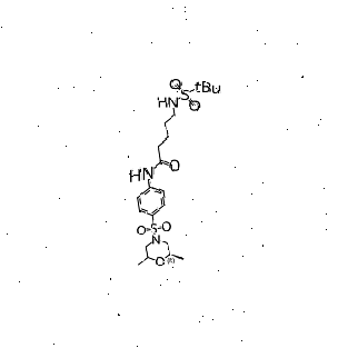 CC1CN(S(=O)(=O)c2ccc(NC(=O)CCCCNS(=O)(=O)C(C)(C)C)cc2)C[C@@H](C)O1